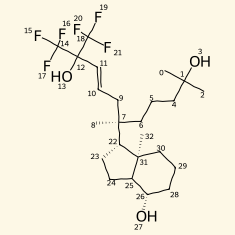 CC(C)(O)CCC[C@](C)(C/C=C/C(O)(C(F)(F)F)C(F)(F)F)[C@H]1CCC2[C@@H](O)CCC[C@@]21C